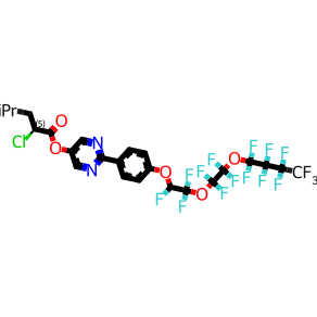 CC(C)C[C@H](Cl)C(=O)Oc1cnc(-c2ccc(OC(F)C(F)(F)OC(F)(F)C(F)(F)OC(F)(F)C(F)(F)C(F)(F)C(F)(F)F)cc2)nc1